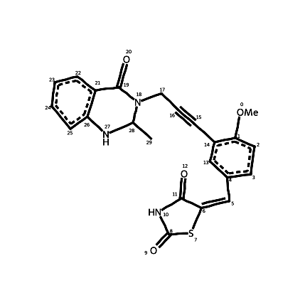 COc1ccc(C=C2SC(=O)NC2=O)cc1C#CCN1C(=O)c2ccccc2NC1C